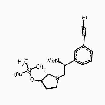 CCC#Cc1cccc([C@@H](CN2CCC(O[Si](C)(C)C(C)(C)C)C2)NC)c1